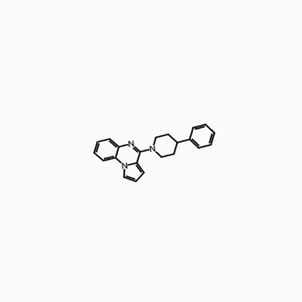 c1ccc(C2CCN(c3nc4ccccc4n4cccc34)CC2)cc1